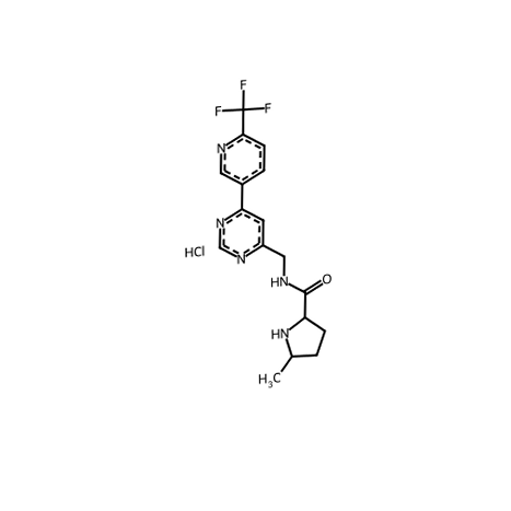 CC1CCC(C(=O)NCc2cc(-c3ccc(C(F)(F)F)nc3)ncn2)N1.Cl